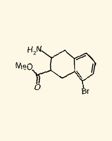 COC(=O)C1Cc2c(Br)cccc2CC1N